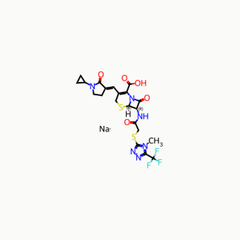 Cn1c(SCC(=O)N[C@@H]2C(=O)N3C(C(=O)O)=C(C=C4CCN(C5CC5)C4=O)CS[C@H]23)nnc1C(F)(F)F.[Na]